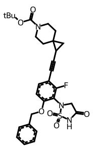 CC(C)(C)OC(=O)N1CCC2(CC1)CC2C#Cc1ccc(OCc2ccccc2)c(N2CC(=O)NS2(=O)=O)c1F